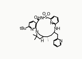 C[C@H]1CC(Cc2ccccn2)Nc2cccc(n2)S(=O)(=O)NC(=O)c2ccc(C(C)(C)C)nc2N2C[C@@H]1CC2(C)C